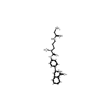 N=C(CN)NCCC[C@H](N)C(=O)Oc1ccc(-c2cc3ccccc3c(=O)[nH]2)cc1